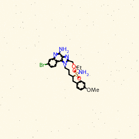 CCOCc1nc2c(N)nc3cc(Br)ccc3c2n1CCCC(Cc1ccc(OC)cc1)S(N)(=O)=O